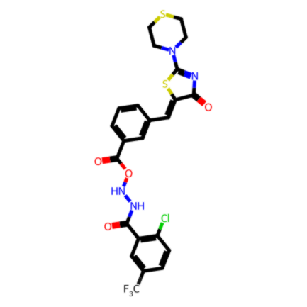 O=C1N=C(N2CCSCC2)SC1=Cc1cccc(C(=O)ONNC(=O)c2cc(C(F)(F)F)ccc2Cl)c1